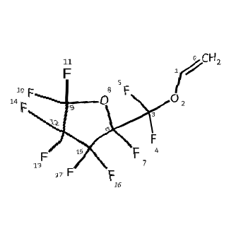 C=COC(F)(F)C1(F)OC(F)(F)C(F)(F)C1(F)F